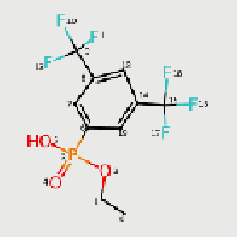 CCOP(=O)(O)c1cc(C(F)(F)F)cc(C(F)(F)F)c1